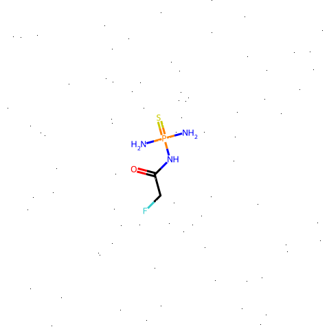 NP(N)(=S)NC(=O)CF